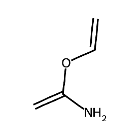 C=COC(=C)N